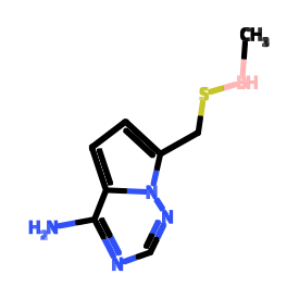 CBSCc1ccc2c(N)ncnn12